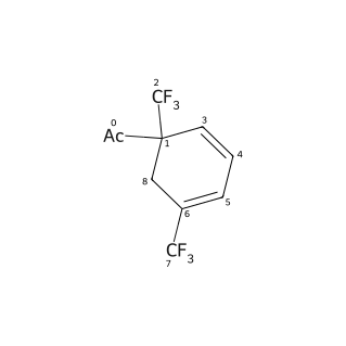 CC(=O)C1(C(F)(F)F)C=CC=C(C(F)(F)F)C1